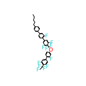 CCCCCc1ccc(-c2ccc(-c3cc(F)c(C(F)(F)Oc4ccc(-c5cc(F)c(C(F)(F)CF)c(F)c5)c(F)c4)c(F)c3)c(F)c2)cc1